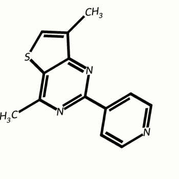 Cc1csc2c(C)nc(-c3ccncc3)nc12